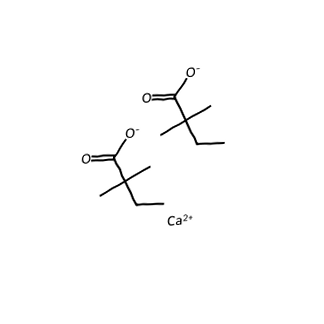 CCC(C)(C)C(=O)[O-].CCC(C)(C)C(=O)[O-].[Ca+2]